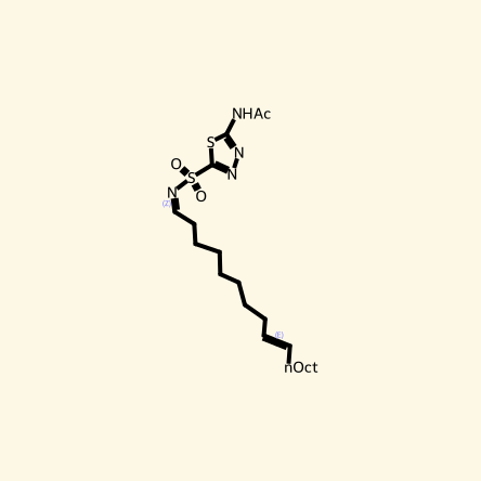 CCCCCCCC/C=C/CCCCCCC/C=N\S(=O)(=O)c1nnc(NC(C)=O)s1